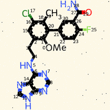 COc1c(CCNc2ncnc3[nH]cnc23)cc(Cl)c(C)c1-c1ccc(F)c(C(N)=O)c1